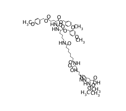 COc1ccc(COC(=O)CCC(NC(=O)NC(CCCCNC(=O)CCCCCCC(=O)NC(CCCCn2cc(CC(NC(=O)OC(C)(C)C)C(=O)O)nn2)C(=O)O)C(=O)OCc2ccc(OC)cc2)C(=O)OCc2ccc(OC)cc2)cc1